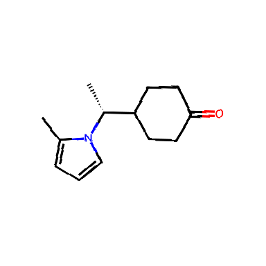 Cc1cccn1[C@H](C)C1CCC(=O)CC1